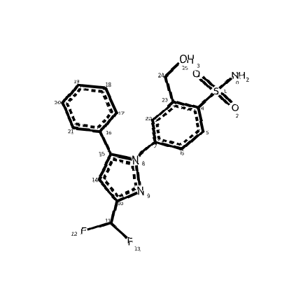 NS(=O)(=O)c1ccc(-n2nc(C(F)F)cc2-c2ccccc2)cc1CO